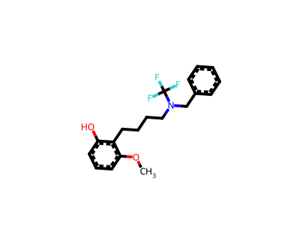 COc1cccc(O)c1CCCCN(Cc1ccccc1)C(F)(F)F